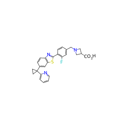 O=C(O)C1CN(Cc2ccc(-c3nc4ccc(C5(c6ccccn6)CC5)cc4s3)c(F)c2)C1